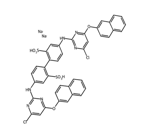 O=S(=O)(O)c1cc(Nc2nc(Cl)cc(Oc3ccc4ccccc4c3)n2)ccc1-c1ccc(Nc2nc(Cl)cc(Oc3ccc4ccccc4c3)n2)cc1S(=O)(=O)O.[Na].[Na]